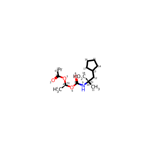 CC(C)C(=O)O[C@H](C)OC(=O)N[C@@](C)(CC1CCCC1)C(=O)O